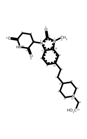 Cn1c(=O)n(C2CCC(=O)NC2=O)c2ccc(CCC3CCN(CC(=O)O)CC3)cc21